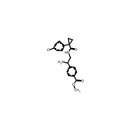 COC(=O)c1ccc(C(N)CNC(=O)C2(c3ccc(Cl)cc3)CC2)cc1